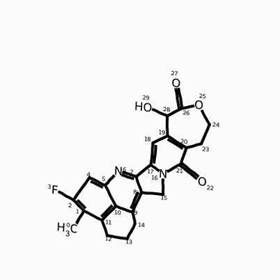 Cc1c(F)cc2nc3c(c4c2c1CCC4)Cn1c-3cc2c(c1=O)CCOC(=O)C2O